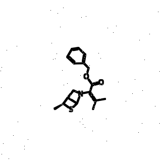 CC(C)=C(C(=O)OCc1ccccc1)N1CC2C1S[C@H]2C